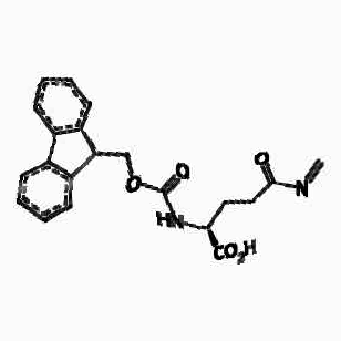 C=NC(=O)CC[C@H](NC(=O)OCC1c2ccccc2-c2ccccc21)C(=O)O